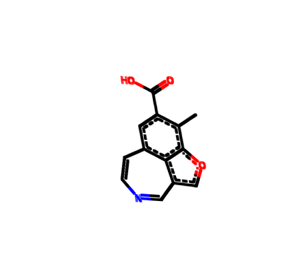 Cc1c(C(=O)O)cc2c3c(coc13)C=NC=C2